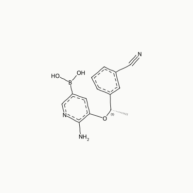 C[C@H](Oc1cc(B(O)O)cnc1N)c1cccc(C#N)c1